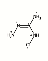 NN=C(N)NCl